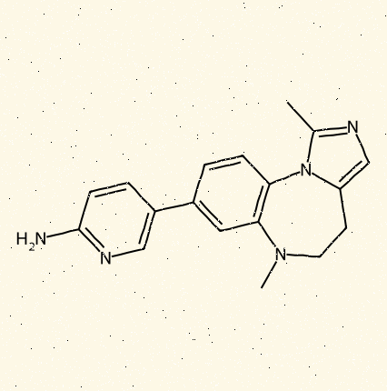 Cc1ncc2n1-c1ccc(-c3ccc(N)nc3)cc1N(C)CC2